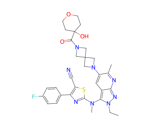 CCn1nc2nc(C)c(N3CC4(CN(C(=O)C5(O)CCOCC5)C4)C3)cc2c1N(C)c1nc(-c2ccc(F)cc2)c(C#N)s1